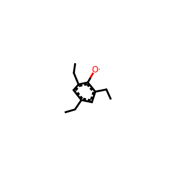 CCc1cc(CC)c([O])c(CC)c1